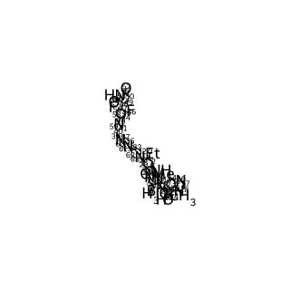 CCc1cc(Nc2ncc(Br)c(Nc3ccc4nccnc4c3P(C)(C)=O)n2)c(OC)cc1N1CCC(N2CCN(CC3CN(c4cc(F)c(C5CCC(=O)NC5=O)c(F)c4)C3)CC2)CC1